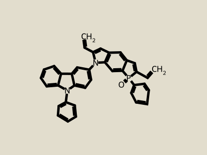 C=CC1=Cc2cc3cc(C=C)n(-c4ccc5c(c4)c4ccccc4n5-c4ccccc4)c3cc2P1(=O)c1ccccc1